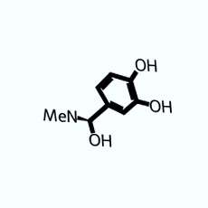 CN[C@H](O)c1ccc(O)c(O)c1